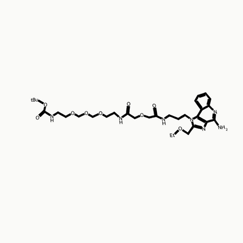 CCOCc1nc2c(N)nc3ccccc3c2n1CCCNC(=O)COCC(=O)NCCOCOCOCCNC(=O)OC(C)(C)C